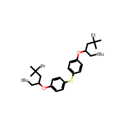 CCC(C)(C)CC(CC(C)(C)C)Oc1ccc(Sc2ccc(OC(CC(C)(C)C)CC(C)(C)C(C)C)cc2)cc1